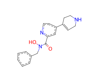 O=C(c1cc(C2=CCNCC2)ccn1)N(O)Cc1ccccc1